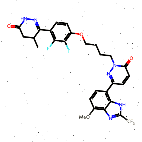 COc1ccc(-c2ccc(=O)n(CCCCOc3ccc(C4=NNC(=O)CC4C)c(F)c3F)n2)c2[nH]c(C(F)(F)F)nc12